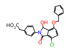 O=C(O)Cc1ccc(N2C(=O)c3c(Cl)ccc(OCc4ccccc4)c3C2O)cc1